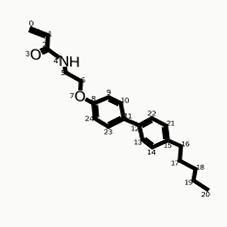 C=CC(=O)NCCOc1ccc(-c2ccc(CCCCC)cc2)cc1